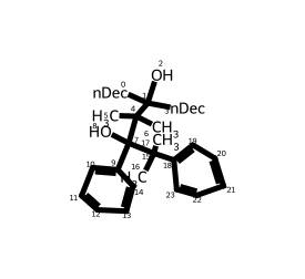 CCCCCCCCCCC(O)(CCCCCCCCCC)C(C)(C)C(O)(c1ccccc1)C(C)(C)c1ccccc1